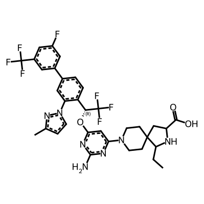 CCC1NC(C(=O)O)CC12CCN(c1cc(O[C@H](c3ccc(-c4cc(F)cc(C(F)(F)F)c4)cc3-n3ccc(C)n3)C(F)(F)F)nc(N)n1)CC2